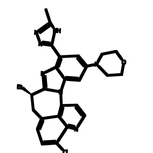 CC[C@H]1Cc2ccc(Cl)c3nccc(c23)-n2c1nc1c(-c3nnc(C)[nH]3)cc(N3CCOCC3)cc12